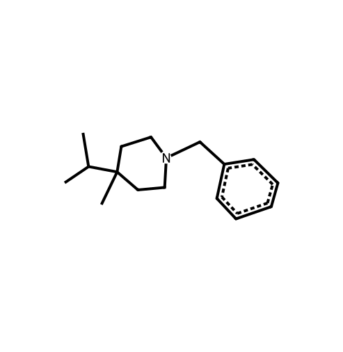 CC(C)C1(C)CCN(Cc2ccccc2)CC1